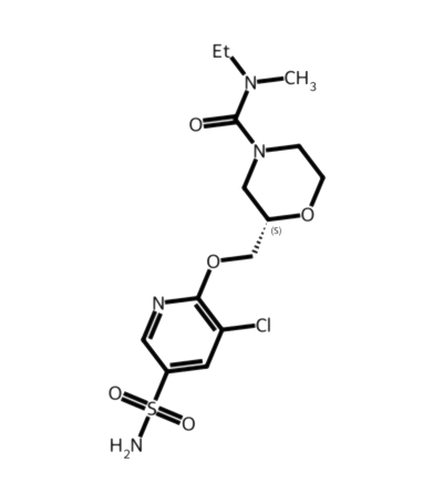 CCN(C)C(=O)N1CCO[C@H](COc2ncc(S(N)(=O)=O)cc2Cl)C1